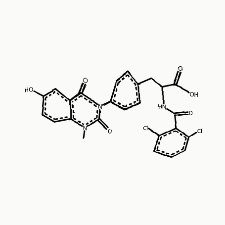 Cn1c(=O)n(-c2ccc(CC(NC(=O)c3c(Cl)cccc3Cl)C(=O)O)cc2)c(=O)c2cc(O)ccc21